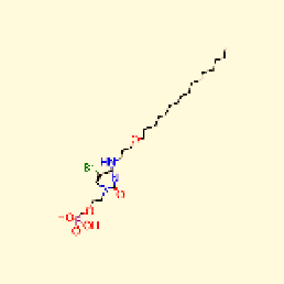 CCCCCCCCCCCCCCCCOCCCNc1nc(=O)n(CCOCP(=O)(O)O)cc1Br